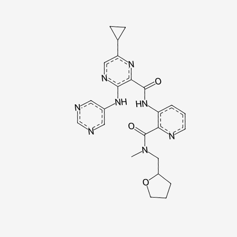 CN(CC1CCCO1)C(=O)c1ncccc1NC(=O)c1nc(C2CC2)cnc1Nc1cncnc1